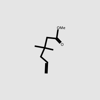 C=CCC(C)(C)CC(=O)OC